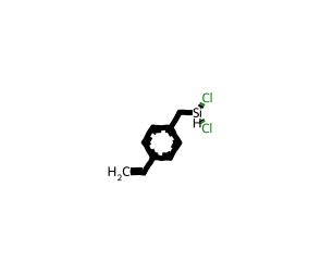 C=Cc1ccc(C[SiH](Cl)Cl)cc1